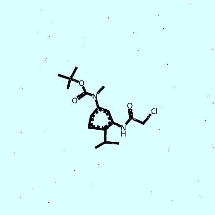 CC(C)c1ccc(N(C)C(=O)OC(C)(C)C)cc1NC(=O)CCl